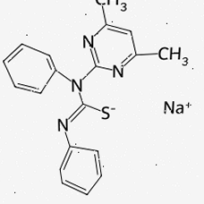 Cc1cc(C)nc(N(C([S-])=Nc2ccccc2)c2ccccc2)n1.[Na+]